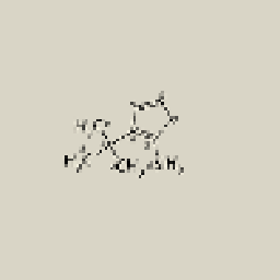 CC(C)(C)C1=C([SiH3])CC=C1